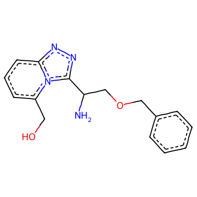 NC(COCc1ccccc1)c1nnc2cccc(CO)n12